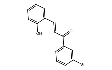 O=C(C=Cc1ccccc1O)c1cccc(Br)c1